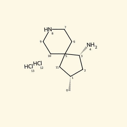 C[C@H]1C[C@@H](N)C2(CCNCC2)C1.Cl.Cl